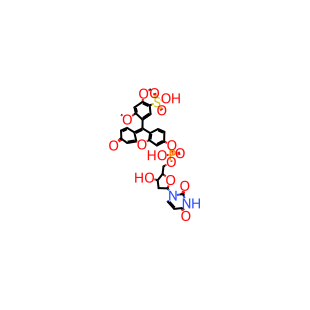 COc1cc(OC)c(S(=O)(=O)O)cc1-c1c2ccc(=O)cc-2oc2cc(OP(=O)(O)OCC3OC(n4ccc(=O)[nH]c4=O)CC3O)ccc12